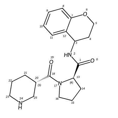 O=C(NC1CCOc2ccccc21)[C@H]1CCCN1C(=O)[C@H]1CCCNC1